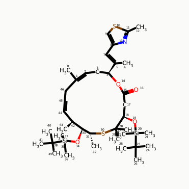 CC1=CC[C@@H](C(C)=Cc2csc(C)n2)OC(=O)C[C@@H](O[Si](C)(C)C(C)(C)C)C(C)(C)S[C@H](C)[C@@H](O[Si](C)(C)C(C)(C)C)[C@@H](C)C=CC1